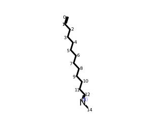 C=CCCCCCCCCCC/C=N/C